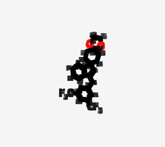 FC(F)(F)c1cc(CC=CC2(c3ccccc3)CCC3(CC2)OCCO3)cc(C(F)(F)F)c1